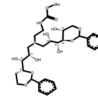 CC(C)(C)OC(=O)NCCN(C[C@H](O)[C@@H](O)[C@H]1CCOC(c2ccccc2)O1)C[C@H](O)[C@@H](O)[C@@H]1OC(c2ccccc2)OC[C@H]1O